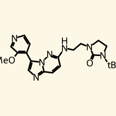 COc1cnccc1-c1cnc2ccc(NCCN3CCN(C(C)(C)C)C3=O)nn12